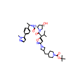 CC(NC(=O)[C@@H]1C[C@@H](O)CN1C(=O)C(c1cc(N2CC(CC3CCN(C(=O)OC(C)(C)C)CC3)C2)no1)C(C)C)c1ccc(-c2ccnn2C)cc1